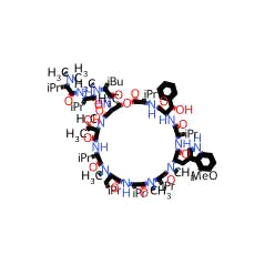 CCC(C)C(C(=O)NC1C(=O)N(C)C(C(C)O)C(=O)NC(C(C)C)C(=O)N(C)C(CC(C)C)C(=O)NC(C(C)C)C(=O)N(C)C(C(C)C)C(=O)N(C)C(Cc2c[nH]c3cccc(OC)c23)C(=O)NC(C(C)C)C(=O)NC(C(O)c2ccccc2)C(=O)NC(C(C)C)C(=O)OC1C)N(C)C(=O)C(NC(=O)C(C(C)C)N(C)C)C(C)C